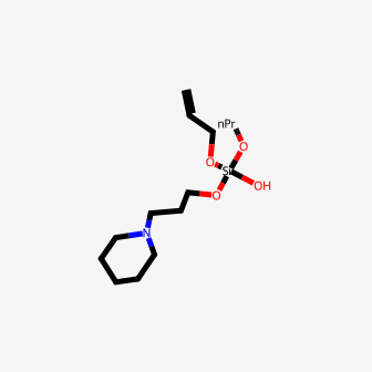 C=CCO[Si](O)(OCCC)OCCCN1CCCCC1